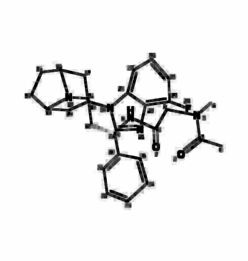 CC(=O)N(C)CC(=O)N[C@@H](CCN1C2CCC1CC(n1cnc3c(F)cccc31)C2)c1ccccc1